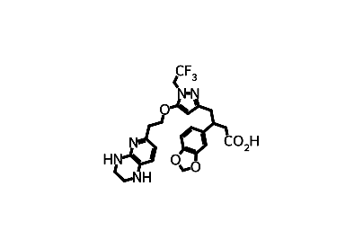 O=C(O)CC(Cc1cc(OCCc2ccc3c(n2)NCCN3)n(CC(F)(F)F)n1)c1ccc2c(c1)OCO2